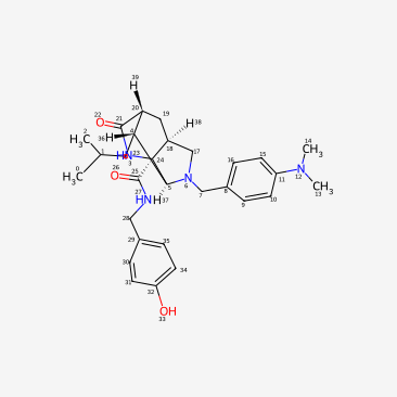 CC(C)C[C@H]1[C@@H]2N(Cc3ccc(N(C)C)cc3)C[C@@H]3C[C@H]1C(=O)N[C@@]32C(=O)NCc1ccc(O)cc1